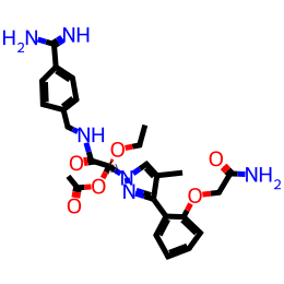 CCO[C@](OC(C)=O)(C(=O)NCc1ccc(C(=N)N)cc1)n1cc(C)c(-c2ccccc2OCC(N)=O)n1